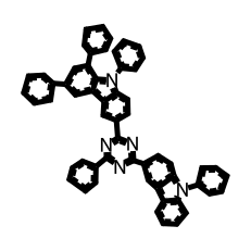 c1ccc(-c2cc(-c3ccccc3)c3c(c2)c2cc(-c4nc(-c5ccccc5)nc(-c5ccc6c(c5)c5ccccc5n6-c5ccccc5)n4)ccc2n3-c2ccccc2)cc1